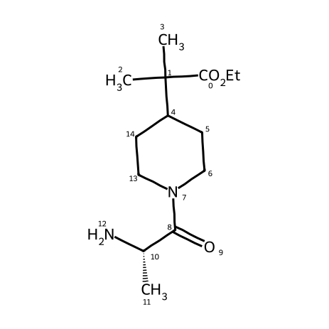 CCOC(=O)C(C)(C)C1CCN(C(=O)[C@H](C)N)CC1